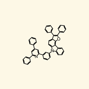 c1ccc(-c2cc(-c3ccccc3)nc(-c3cccc(-n4c5ccccc5c5c6oc(-c7ccccc7)c(-c7ccccc7)c6ccc54)c3)c2)cc1